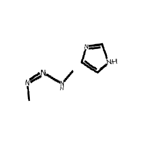 C/N=N\NC.c1c[nH]cn1